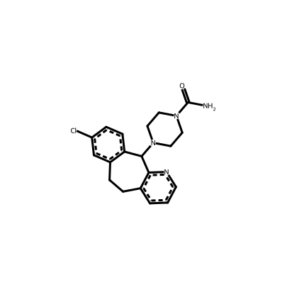 NC(=O)N1CCN(C2c3ccc(Cl)cc3CCc3cccnc32)CC1